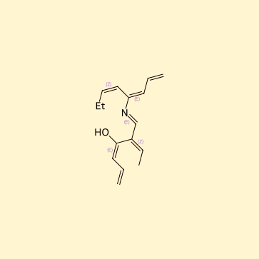 C=C/C=C(\C=C/CC)/N=C/C(=C/C)C(/O)=C\C=C